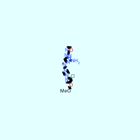 COCCOc1cnc(N2CCN(CCN(C)c3cc4nc(-c5ncco5)nn4c(N)n3)CC2)c(Cl)c1